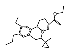 C=C(OCC)C1=CN2C(CC1)c1cc(CC)c(CCC)cc1CC2C1(C)CC1